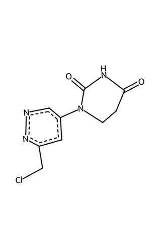 O=C1CCN(c2cnnc(CCl)c2)C(=O)N1